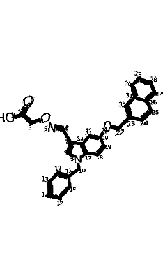 O=C(O)CON=Cc1cn(Cc2ccccc2)c2ccc(OCc3ccc4ccccc4c3)cc12